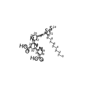 CCCCCCCCCCc1cc(SC)sc1C#Cc1ccnc(-c2cc(C(=O)O)cc(-c3cc(C(=O)O)ccn3)n2)c1